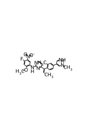 C/C=C(/c1ccnc(Nc2cc([N+](=O)[O-])c(F)cc2OC)n1)c1ccc(/C(C=N)=C/NC)cc1C